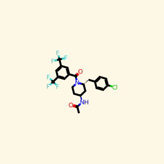 CC(=O)N[C@H]1CCN(C(=O)c2cc(C(F)(F)F)cc(C(F)(F)F)c2)[C@H](Cc2ccc(Cl)cc2)C1